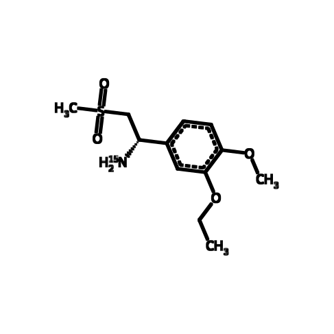 CCOc1cc([C@H]([15NH2])CS(C)(=O)=O)ccc1OC